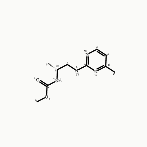 COC(=O)N[C@H](C)CNc1nccc(C)n1